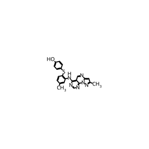 Cc1ccc(Sc2ccc(O)cc2)c(Nc2ncnc3c2cnc2cc(C)nn23)c1